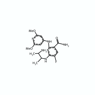 COc1cc(Nc2nc(NC(C)C(C)N)c(F)cc2C(N)=O)cc(OC)n1